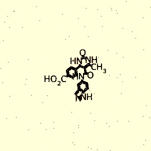 CC1=C(C(=O)Nc2ccc3[nH]ncc3c2)C(c2ccc(C(=O)O)cc2)NC(=O)N1